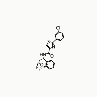 O=C(O)C[C@H](NC(=O)c1csc(-c2cccc(Cl)c2)n1)c1ccccc1C(F)(F)F